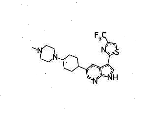 CN1CCN(C2CCC(c3cnc4[nH]cc(-c5nc(C(F)(F)F)cs5)c4c3)CC2)CC1